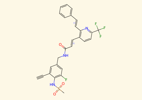 C#Cc1cc(CNC(=O)/C=C/c2ccc(C(F)(F)F)nc2/C=C/c2ccccc2)cc(F)c1NS(C)(=O)=O